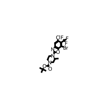 CC1CN(C(=O)OC(C)(C)C)CCN1c1nc2cc(Cl)c(C(F)(F)F)c(Br)c2o1